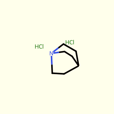 C1CN2CCC1CC2.Cl.Cl